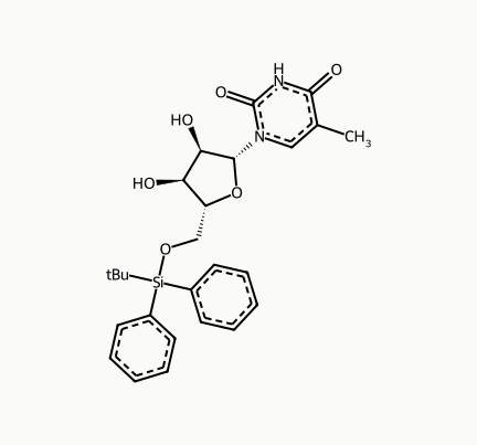 Cc1cn([C@@H]2O[C@H](CO[Si](c3ccccc3)(c3ccccc3)C(C)(C)C)[C@@H](O)[C@H]2O)c(=O)[nH]c1=O